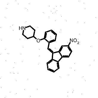 O=[N+]([O-])c1ccc2c(c1)C(=Cc1ccccc1OC1CCNCC1)c1ccccc1-2